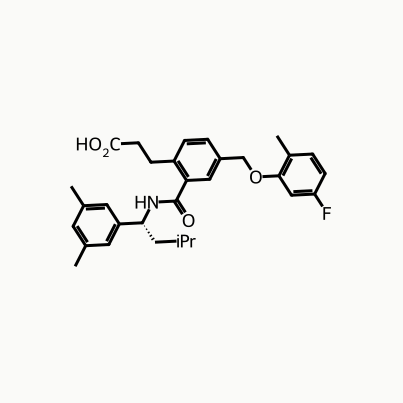 Cc1cc(C)cc([C@@H](CC(C)C)NC(=O)c2cc(COc3cc(F)ccc3C)ccc2CCC(=O)O)c1